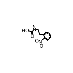 CN(CCc1ccccc1[N+](=O)[O-])C(=O)O